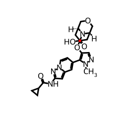 Cn1ncc(OC2C[C@H]3COC[C@H](C2)N3C(=O)O)c1-c1ccn2nc(NC(=O)C3CC3)cc2c1